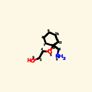 NCC1(OCCO)CCCCC1